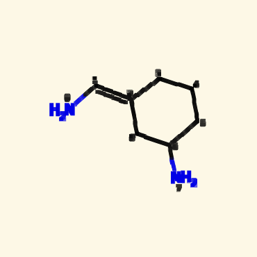 N/C=C1/CCCC(N)C1